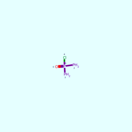 O=P(P)(P)Cl